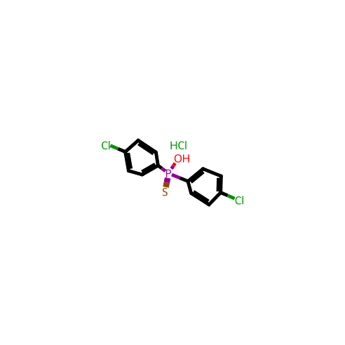 Cl.OP(=S)(c1ccc(Cl)cc1)c1ccc(Cl)cc1